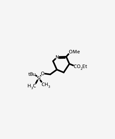 CCOC(=O)C1CC(CO[Si](C)(C)C(C)(C)C)CN=C1OC